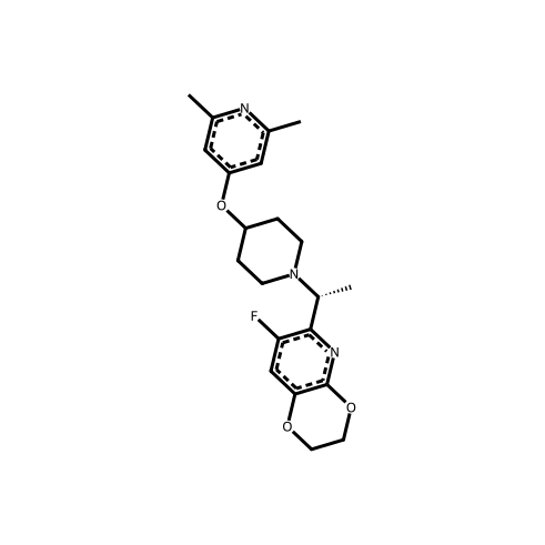 Cc1cc(OC2CCN([C@H](C)c3nc4c(cc3F)OCCO4)CC2)cc(C)n1